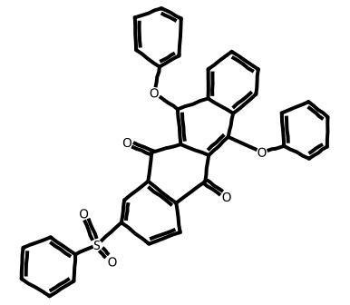 O=C1c2ccc(S(=O)(=O)c3ccccc3)cc2C(=O)c2c1c(Oc1ccccc1)c1ccccc1c2Oc1ccccc1